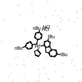 CCCCc1ccc([C](c2ccc(CCCC)cc2)=[Hf]([C]2=CC=CC2)[c]2cc(C(C)(C)C)cc3c2Cc2ccc(C(C)(C)C)cc2-3)cc1.Cl.Cl